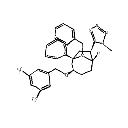 Cn1nnnc1[C@@H]1C[C@@]2(c3ccccc3)[C@H](OCc3cc(C(F)(F)F)cc(C(F)(F)F)c3)CC[C@@H]1N2Cc1ccccc1